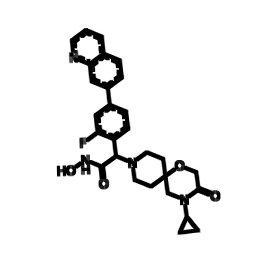 O=C(NO)C(c1ccc(-c2ccc3cccnc3c2)cc1F)N1CCC2(CC1)CN(C1CC1)C(=O)CO2